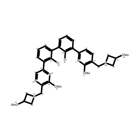 COc1nc(-c2cccc(-c3cccc(-c4cnc(CN5CC(OC)C5)c(OC)n4)c3Cl)c2Cl)ccc1CN1CC(OC)C1